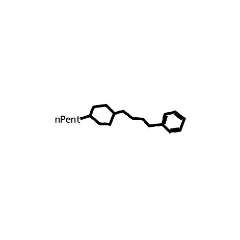 CCCCCC1CCC(CCCCc2[c]cccc2)CC1